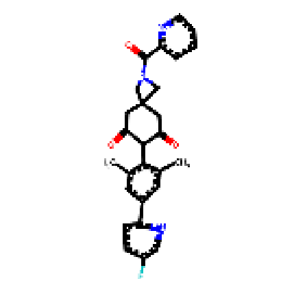 Cc1cc(-c2ccc(F)cn2)cc(C)c1C1C(=O)CC2(CC1=O)CN(C(=O)c1ccccn1)C2